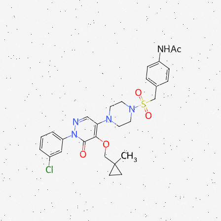 CC(=O)Nc1ccc(CS(=O)(=O)N2CCN(c3cnn(-c4cccc(Cl)c4)c(=O)c3OCC3(C)CC3)CC2)cc1